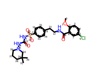 COc1ccc(Cl)cc1C(=O)NCCc1ccc(S(=O)(=O)NC(=O)NN2CCCC(C)(C)C2)cc1